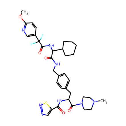 COc1ccc(C(F)(F)C(=O)NC(C(=O)NCc2ccc(CC(NC(=O)c3cnns3)C(=O)N3CCN(C)CC3)cc2)C2CCCCC2)cn1